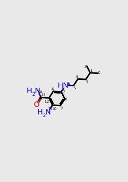 CC(C)CCCNc1ccc(N)c(C(N)=O)c1